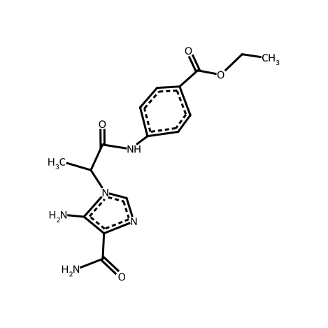 CCOC(=O)c1ccc(NC(=O)C(C)n2cnc(C(N)=O)c2N)cc1